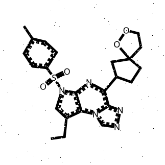 CCc1cn(S(=O)(=O)c2ccc(C)cc2)c2nc(C3CCC4(CCOO4)C3)c3nncn3c12